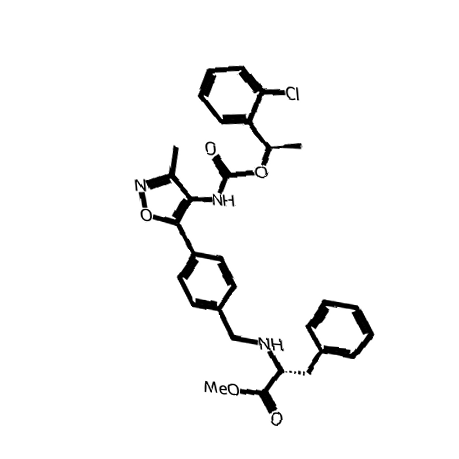 COC(=O)[C@@H](Cc1ccccc1)NCc1ccc(-c2onc(C)c2NC(=O)O[C@H](C)c2ccccc2Cl)cc1